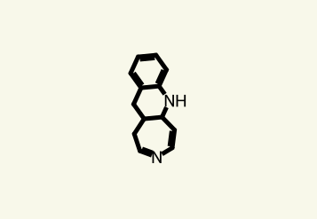 C1=CC2Nc3ccccc3CC2CC=N1